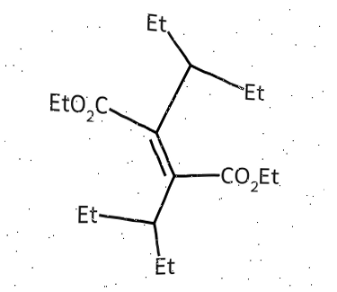 CCOC(=O)C(=C(C(=O)OCC)C(CC)CC)C(CC)CC